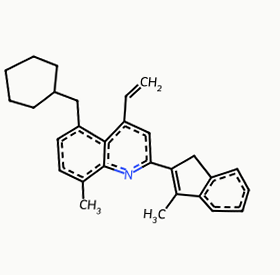 C=Cc1cc(C2=C(C)c3ccccc3C2)nc2c(C)ccc(CC3CCCCC3)c12